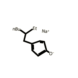 CCCCC(CC)Cc1ccc([O-])cc1.[Na+]